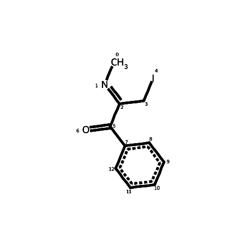 C/N=C(\CI)C(=O)c1ccccc1